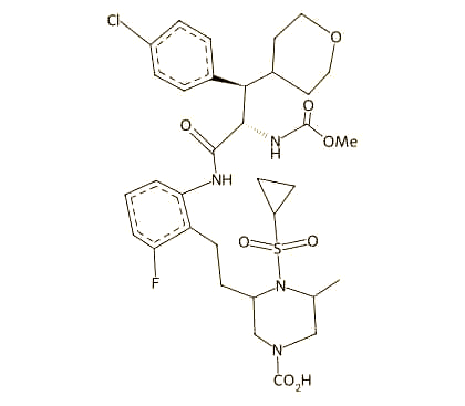 COC(=O)N[C@H](C(=O)Nc1cccc(F)c1CCC1CN(C(=O)O)CC(C)N1S(=O)(=O)C1CC1)[C@@H](c1ccc(Cl)cc1)C1CCOCC1